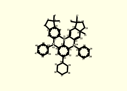 CC1(C)CCc2cc3c(cc21)B1C2=CC4C(C)(C)CCC4(C)C=C2N(c2ccccc2)c2cc(C4CCCCC4)cc(c21)N3c1ccccc1